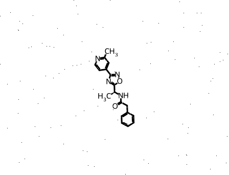 Cc1cc(-c2noc([C@H](C)NC(=O)Cc3ccccc3)n2)ccn1